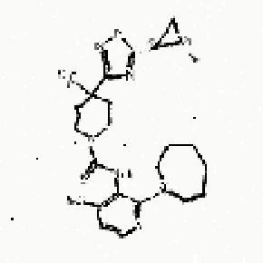 CC1(c2noc([C@@H]3C[C@@H]3F)n2)CCN(C(=O)Nc2c(C#N)ccnc2N2CCCCCC2)CC1